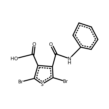 O=C(O)c1c(Br)sc(Br)c1C(=O)Nc1ccccc1